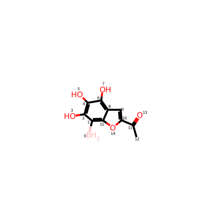 Bc1c(O)c(O)c(O)c2cc(C(C)=O)oc12